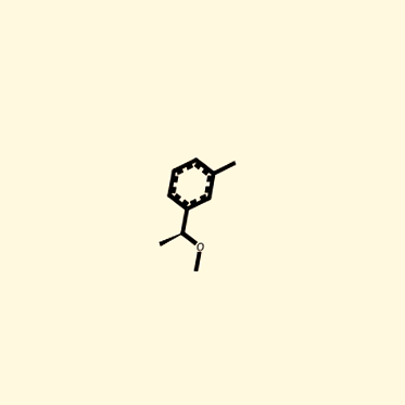 CO[C@@H](C)c1cccc(C)c1